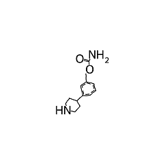 NC(=O)OCc1cccc(C2CCNCC2)c1